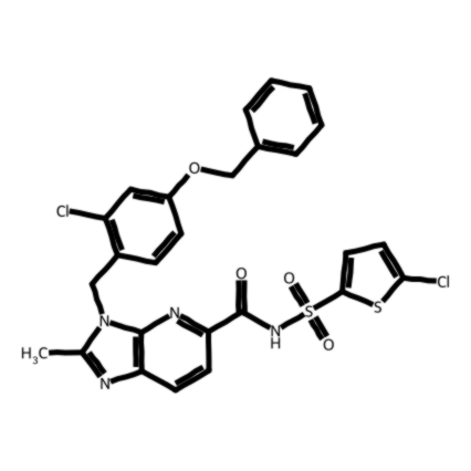 Cc1nc2ccc(C(=O)NS(=O)(=O)c3ccc(Cl)s3)nc2n1Cc1ccc(OCc2ccccc2)cc1Cl